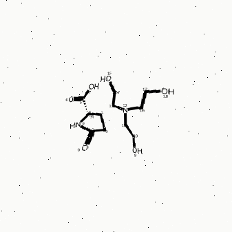 O=C1CC[C@@H](C(=O)O)N1.OCCN(CCO)CCO